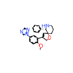 COc1ccc(-n2cncn2)cc1C1=C[C@@]2(CCCN[C@H]2c2ccccc2)OC1